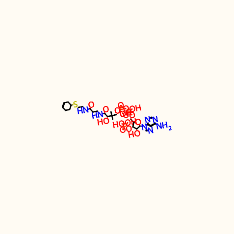 CC(C)(COP(=O)(O)OP(=O)(O)OC[C@H]1O[C@@H](n2cnc3c(N)ncnc32)[C@H](O)[C@@H]1OP(=O)(O)O)[C@@H](O)C(=O)NCCC(=O)NCCSC1CC=CCC1